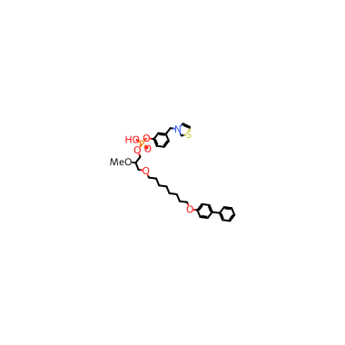 COC(COCCCCCCCCOc1ccc(-c2ccccc2)cc1)COP(=O)(O)Oc1cccc(CN2C=CSC2)c1